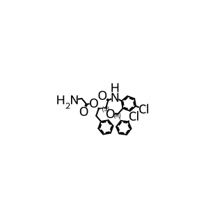 NCC(=O)OC(Cc1ccccc1)[C@@H]1O[C@@H](c2ccccc2Cl)c2cc(Cl)ccc2NC1=O